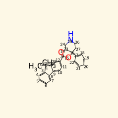 CC1(C)c2ccccc2-c2ccc(C(=O)OC3(c4ccccc4)CCNCC3)cc21